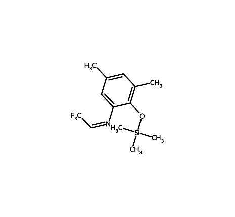 Cc1cc(C)c(O[Si](C)(C)C)c(/N=C\C(F)(F)F)c1